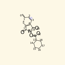 C=C/C=C\C1=C(C)C(=O)N(OC(=O)C2CCCCC2)C1=O